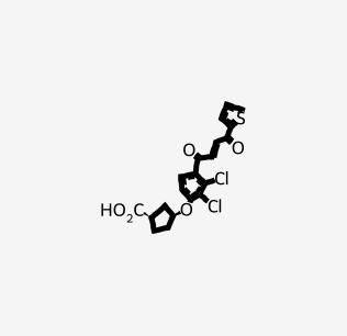 O=C(C=CC(=O)c1ccc(O[C@H]2CC[C@H](C(=O)O)C2)c(Cl)c1Cl)c1cccs1